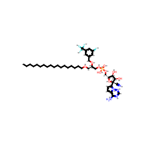 CCCCCCCCCCCCCCCCCCOC[C@H](COP(=O)(O)OC[C@H]1O[C@@](C#N)(c2ccc3c(N)ncnn23)[C@H](O)[C@@H]1O)OCc1cc(F)cc(C(F)(F)F)c1